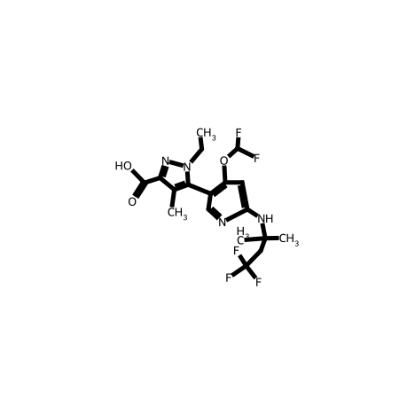 CCn1nc(C(=O)O)c(C)c1-c1cnc(NC(C)(C)CC(F)(F)F)cc1OC(F)F